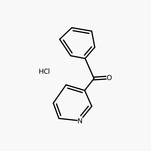 Cl.O=C(c1ccccc1)c1cccnc1